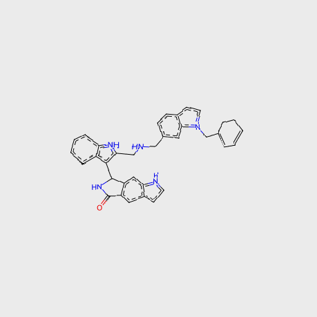 O=C1NC(c2c(CNCc3ccc4ccn(CC5=CC=CCC5)c4c3)[nH]c3ccccc23)c2cc3[nH]ccc3cc21